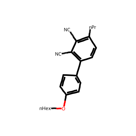 CCCCCCOc1ccc(-c2ccc(CCC)c(C#N)c2C#N)cc1